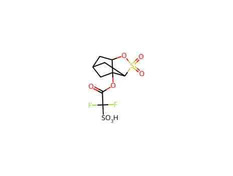 O=C(OC12CC3CC1OS(=O)(=O)C2C3)C(F)(F)S(=O)(=O)O